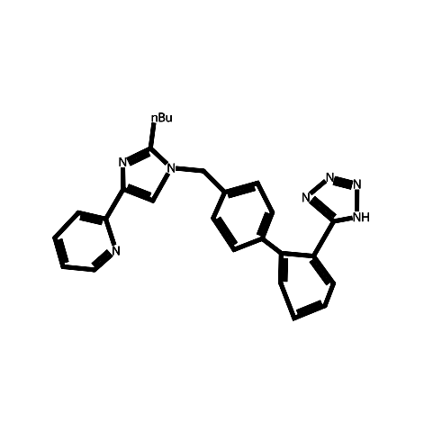 CCCCc1nc(-c2ccccn2)cn1Cc1ccc(-c2ccccc2-c2nnn[nH]2)cc1